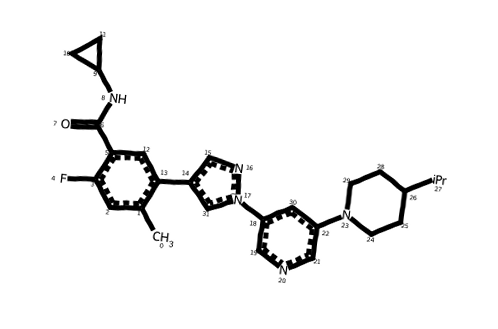 Cc1cc(F)c(C(=O)NC2CC2)cc1-c1cnn(-c2cncc(N3CCC(C(C)C)CC3)c2)c1